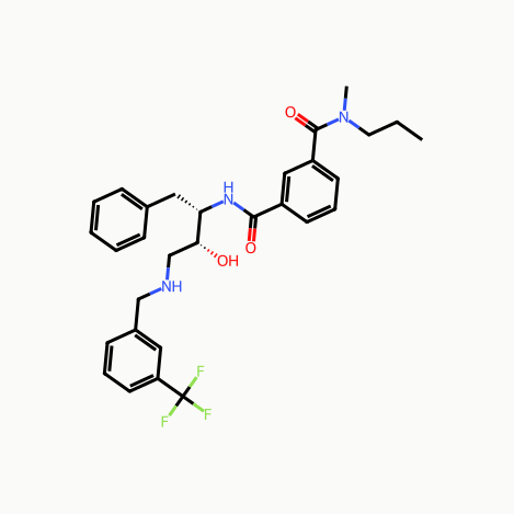 CCCN(C)C(=O)c1cccc(C(=O)N[C@@H](Cc2ccccc2)[C@H](O)CNCc2cccc(C(F)(F)F)c2)c1